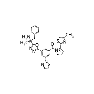 Cc1csc([C@H]2CCCN2C(=O)c2cc(-c3nnc([C@](C)(N)Cc4ccccc4)o3)cc(-n3cccn3)c2)n1